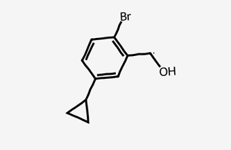 O[CH]c1cc(C2CC2)ccc1Br